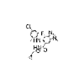 Cc1cc(Cl)ccc1Nc1c(C(=O)NOCC2CC2)cc2c(ncn2C)c1F